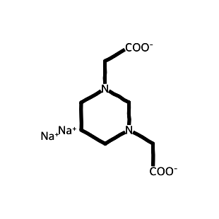 O=C([O-])CN1CCCN(CC(=O)[O-])C1.[Na+].[Na+]